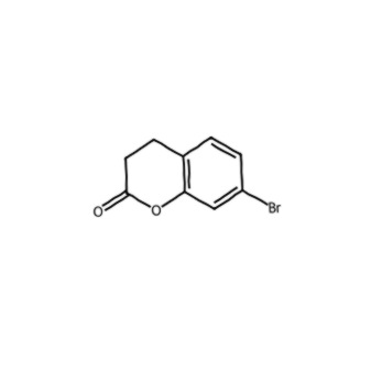 O=C1CCc2ccc(Br)cc2O1